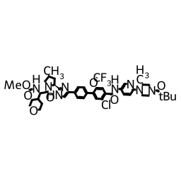 COC(=O)NC(C(=O)N1C[C@@H](C)C[C@H]1c1nc(-c2ccc(-c3cc(Cl)c(C(=O)Nc4ccc(N5CCN(C(=O)C(C)(C)C)C[C@H]5C)nc4)cc3OC(F)(F)F)cc2)c[nH]1)C1CCOCC1